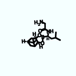 CC(C)C[C@H](NC(=O)CN)B1O[C@@H]2C[C@@H]3CC([C@@H]2O1)C3(C)C